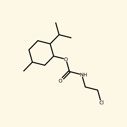 CC1CCC(C(C)C)C(OC(=O)NCCCl)C1